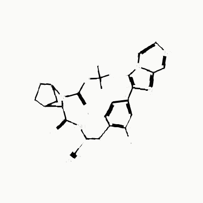 CC(C)(C)OC(=O)N1C2CCC(C2)C1C(=O)N[C@H](C#N)Cc1ccc(-c2cn3ccncc3n2)cc1F